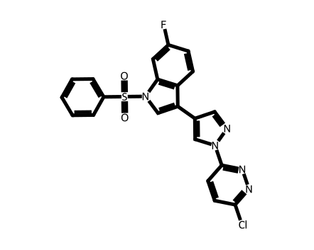 O=S(=O)(c1ccccc1)n1cc(-c2cnn(-c3ccc(Cl)nn3)c2)c2ccc(F)cc21